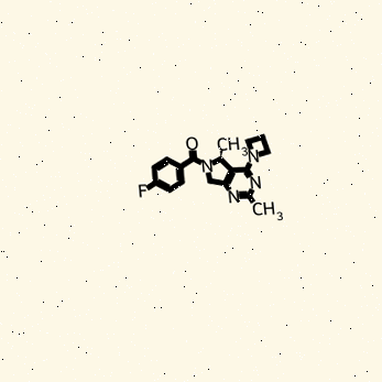 Cc1nc2c(c(N3CCC3)n1)[C@@H](C)N(C(=O)c1ccc(F)cc1)C2